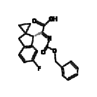 O=C(/N=C(/C(=O)O)[C@@H]1c2cc(F)ccc2CC12CC2)OCc1ccccc1